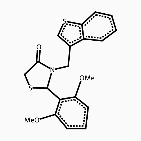 COc1cccc(OC)c1C1SCC(=O)N1Cc1csc2ccccc12